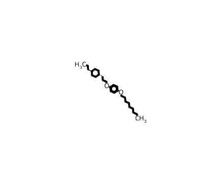 CCCCCCCCCOc1ccc(OCCC[C@H]2CC[C@H](CCC)CC2)cc1